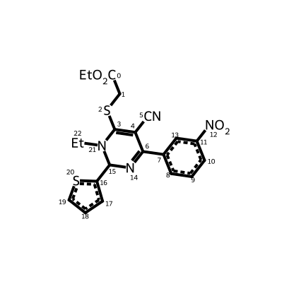 CCOC(=O)CSC1=C(C#N)C(c2cccc([N+](=O)[O-])c2)=NC(c2cccs2)N1CC